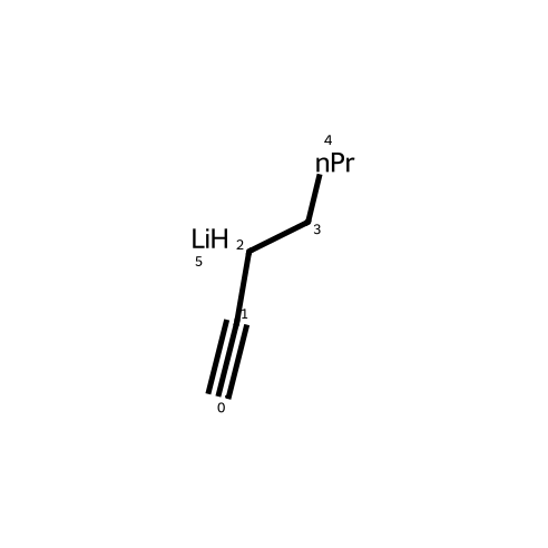 [C]#CCCCCC.[LiH]